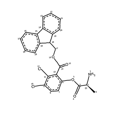 C[C@H](N)C(=O)Oc1ccc(Cl)c(Cl)c1C(=O)OCC1c2ccccc2-c2ccccc21